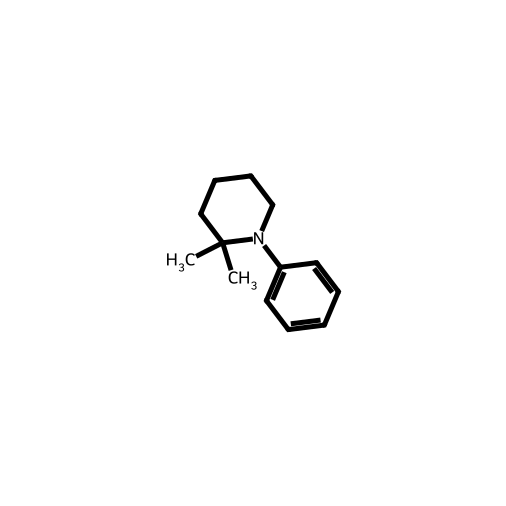 CC1(C)CCCCN1c1ccccc1